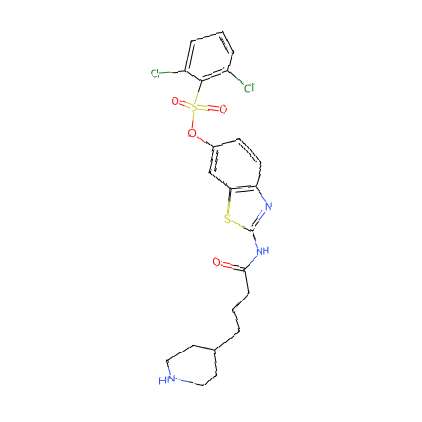 O=C(CCCC1CCNCC1)Nc1nc2ccc(OS(=O)(=O)c3c(Cl)cccc3Cl)cc2s1